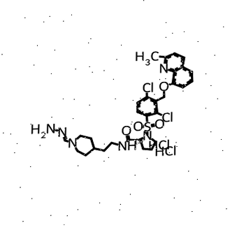 Cc1ccc2cccc(OCc3c(Cl)ccc(S(=O)(=O)N4CCC[C@H]4C(=O)NCCC4CCN(C=NN)CC4)c3Cl)c2n1.Cl.Cl